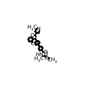 CCOC(=O)[C@H](C)NC(=O)c1ccc(-c2ccc([C@H](CC(=O)c3ccnc(C)c3)c3ccccc3C)cc2)cc1